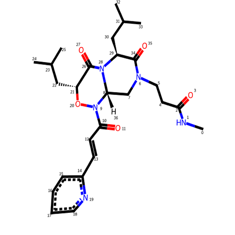 CNC(=O)CCN1C[C@@H]2N(C(=O)/C=C/c3ccccn3)O[C@H](CC(C)C)C(=O)N2[C@@H](CC(C)C)C1=O